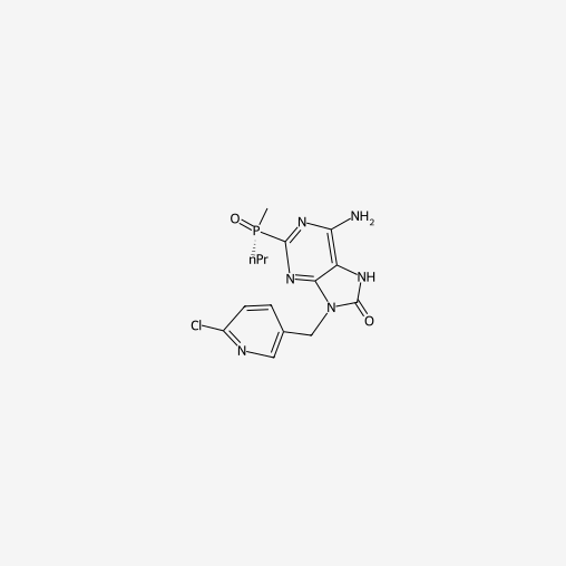 CCC[P@@](C)(=O)c1nc(N)c2[nH]c(=O)n(Cc3ccc(Cl)nc3)c2n1